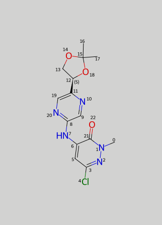 Cn1nc(Cl)cc(Nc2cnc([C@H]3COC(C)(C)O3)cn2)c1=O